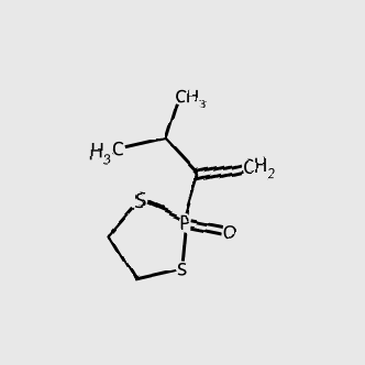 C=C(C(C)C)P1(=O)SCCS1